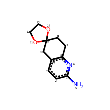 Nc1ccc2c(n1)CCC1(C2)OCCO1